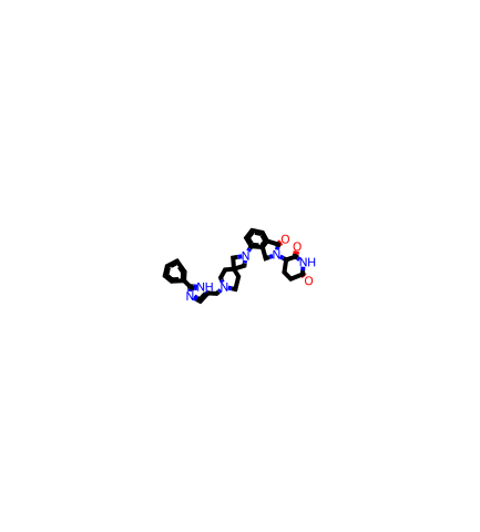 O=C1CCC(N2Cc3c(cccc3N3CC4(CCN(Cc5cnc(-c6ccccc6)[nH]5)CC4)C3)C2=O)C(=O)N1